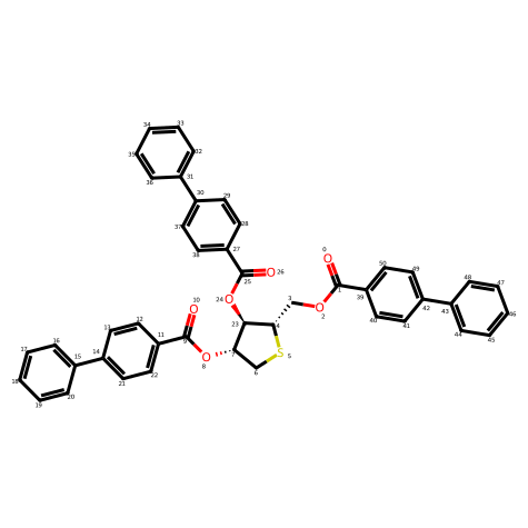 O=C(OC[C@@H]1SC[C@H](OC(=O)c2ccc(-c3ccccc3)cc2)[C@H]1OC(=O)c1ccc(-c2ccccc2)cc1)c1ccc(-c2ccccc2)cc1